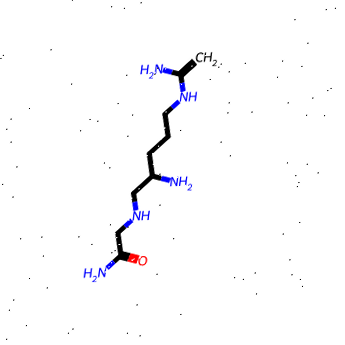 C=C(N)NCCCC(N)CNCC(N)=O